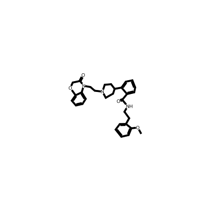 COc1ccccc1CCNC(=O)c1ccccc1C1CCN(CCN2C(=O)COc3ccccc32)CC1